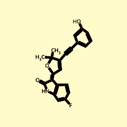 CC1(C)OC(=C2C(=O)Nc3cc(F)ccc32)C=C1C#Cc1cccc(O)c1